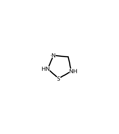 C1[N]NSN1